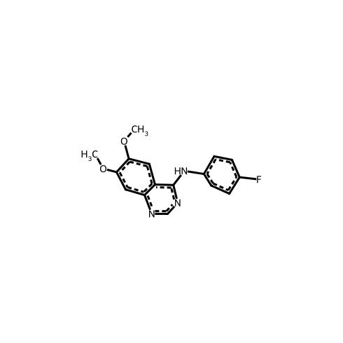 COc1cc2ncnc(Nc3ccc(F)cc3)c2cc1OC